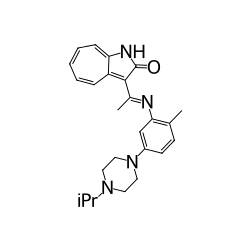 C/C(=N\c1cc(N2CCN(C(C)C)CC2)ccc1C)c1c2cccccc-2[nH]c1=O